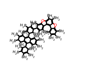 BC1=C(c2c(B)c(B)c3c(oc4c(B)c(B)c5oc6c(B)c(B)c(B)c(B)c6c5c43)c2B)C(B)C(c2c3c(c(C4C(B)=C(B)C(B)=C(B)C4B)c4c(B)c(B)c(B)c(B)c24)C(B)C(B)C(B)=C3B)C(B)=C1B